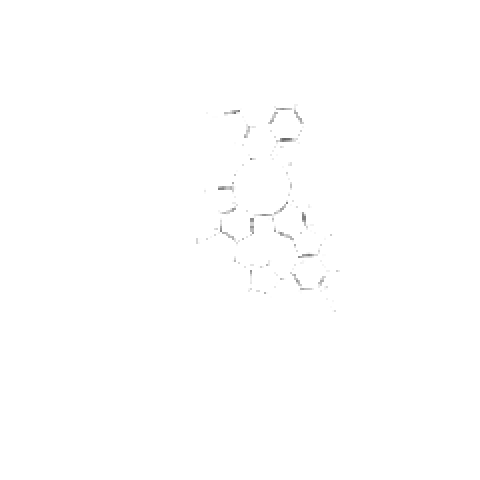 C=CC1=NC2CC(=C)[n+]3cc(C(C)C)c(CC4CCCC4)cc3-c3cc4c(cc3CCC2c2ccccc21)oc1nc(C)ccc14